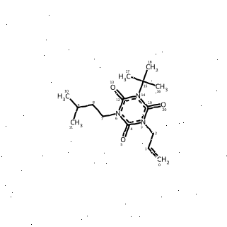 C=CCn1c(=O)n(CCC(C)C)c(=O)n(C(C)(C)C)c1=O